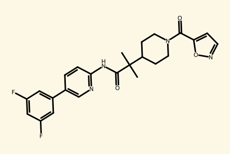 CC(C)(C(=O)Nc1ccc(-c2cc(F)cc(F)c2)cn1)C1CCN(C(=O)c2ccno2)CC1